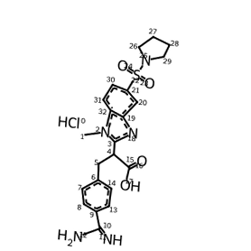 Cl.Cn1c(C(Cc2ccc(C(=N)N)cc2)C(=O)O)nc2cc(S(=O)(=O)N3CCCC3)ccc21